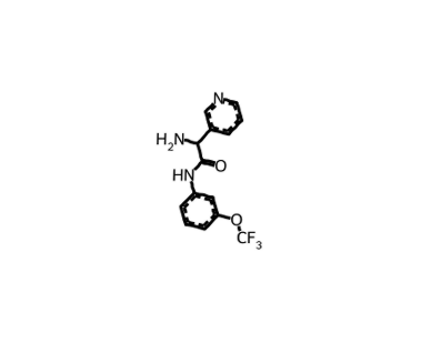 NC(C(=O)Nc1cccc(OC(F)(F)F)c1)c1cccnc1